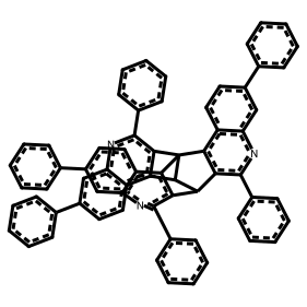 c1ccc(-c2ccc3c4c(c(-c5ccccc5)nc3c2)C23c5c(c(-c6ccccc6)nc6cc(-c7ccccc7)ccc56)C(c5c(-c6ccccc6)nc6cc(-c7ccccc7)ccc6c52)C43)cc1